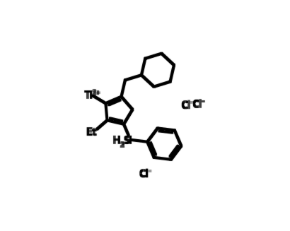 CCC1=C([SiH2]c2ccccc2)CC(CC2CCCCC2)=[C]1[Ti+3].[Cl-].[Cl-].[Cl-]